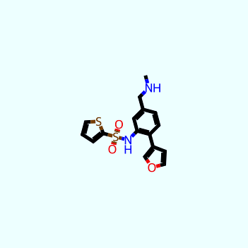 CNCc1ccc(-c2ccoc2)c(NS(=O)(=O)c2cccs2)c1